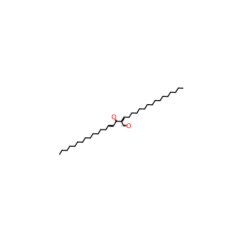 CCCCCCCCCCCCCC=CC(=O)C([C]=O)=CCCCCCCCCCCCCCCC